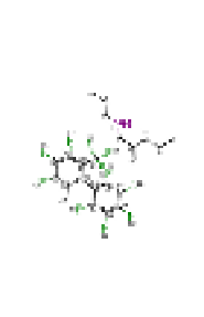 CCCPCC(C)CCC.Cc1c(F)c(F)c(F)c(C(F)(F)F)c1-c1c(F)c(F)c(F)c(F)c1F